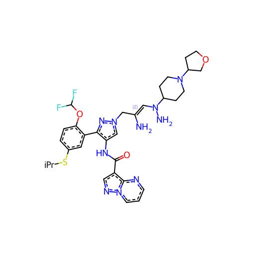 CC(C)Sc1ccc(OC(F)F)c(-c2nn(C/C(N)=C/N(N)C3CCN(C4CCOC4)CC3)cc2NC(=O)c2cnn3cccnc23)c1